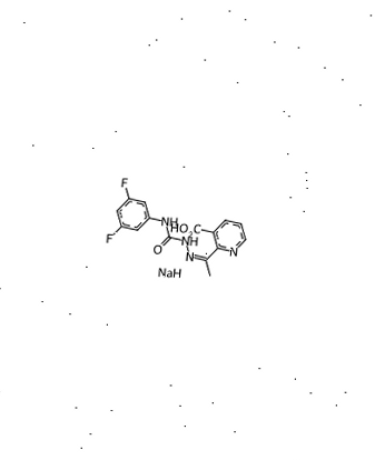 CC(=NNC(=O)Nc1cc(F)cc(F)c1)c1ncccc1C(=O)O.[NaH]